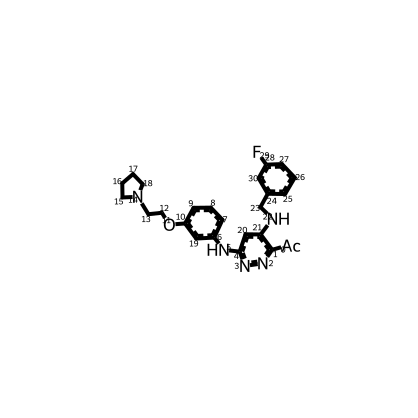 CC(=O)c1nnc(Nc2cccc(OCCN3CCCC3)c2)cc1NCc1cccc(F)c1